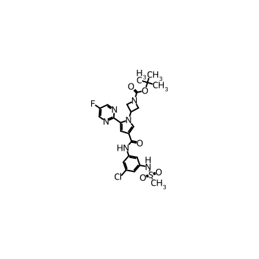 CC(C)(C)OC(=O)N1CC(n2cc(C(=O)Nc3cc(Cl)cc(NS(C)(=O)=O)c3)cc2-c2ncc(F)cn2)C1